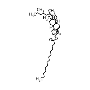 CCCCCCCCCCCCCCC(=O)O[C@H]1CC[C@@]2(C)C(=CC[C@H]3[C@@H]4CC[C@H]([C@H](C)CCCC(C)C)[C@@]4(C)CC[C@@H]32)C1